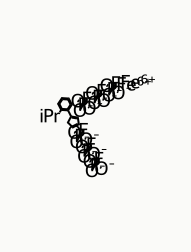 CC(C)c1ccccc1C1=CC=CC1.O=P([O-])([O-])F.O=P([O-])([O-])F.O=P([O-])([O-])F.O=P([O-])([O-])F.O=P([O-])([O-])F.O=P([O-])([O-])F.[Fe+6].[Fe+6]